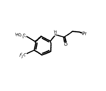 CC(C)CC(=O)Nc1ccc(C(F)(F)F)c(C(=O)O)c1